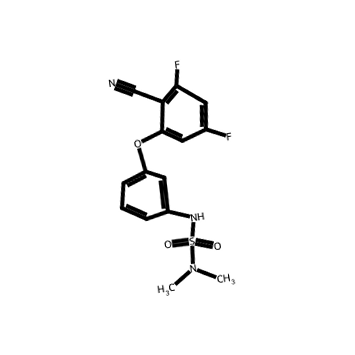 CN(C)S(=O)(=O)Nc1cccc(Oc2cc(F)cc(F)c2C#N)c1